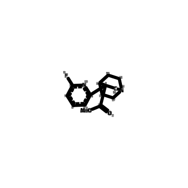 COC(=O)C1(c2cccc(F)n2)CN2CCC1CC2